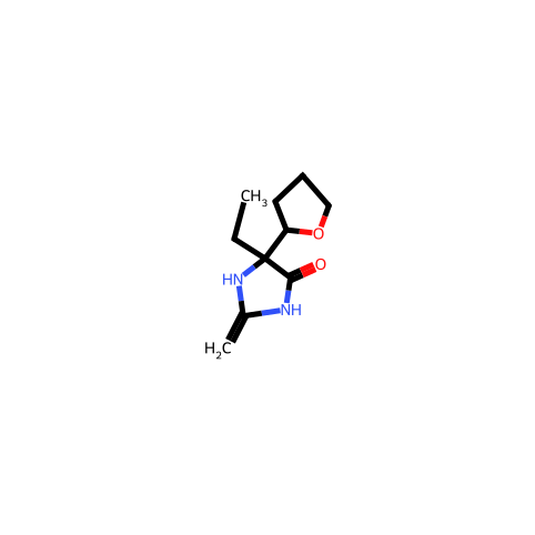 C=C1NC(=O)C(CC)(C2CCCO2)N1